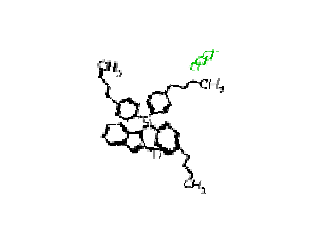 CCCCc1ccc([Si](c2ccc(CCCC)cc2)(c2ccc(CCCC)cc2)C2[C]([Ti+3])=Cc3ccccc32)cc1.[Cl-].[Cl-].[Cl-]